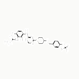 CC(=O)Nc1c(F)ccc(Nc2ncnc(N3CCC(OCc4ccc(OC(F)(F)F)cc4)CC3)n2)c1F